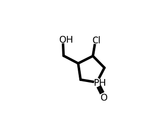 O=[PH]1CC(Cl)C(CO)C1